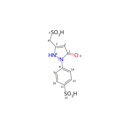 O=c1cc(CS(=O)(=O)O)[nH]n1-c1ccc(S(=O)(=O)O)cc1